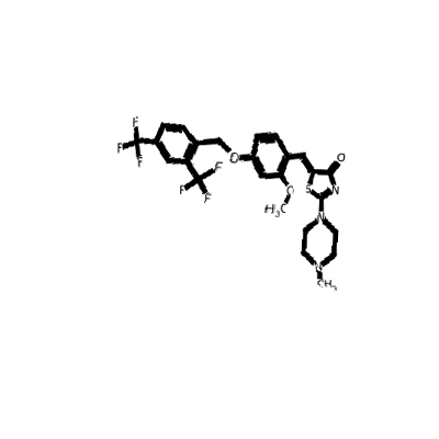 COc1cc(OCc2ccc(C(F)(F)F)cc2C(F)(F)F)ccc1C=C1SC(N2CCN(C)CC2)=NC1=O